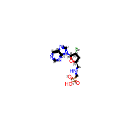 O=S(=O)(O)CNC[C@@H]1C[C@@H](F)[C@H](n2cnc3cncnc32)O1